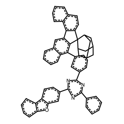 c1ccc(-c2nc(-c3cccc(-c4c5c(cc6ccccc46)-c4c(ccc6ccccc46)C54C5CC6CC(C5)CC4C6)c3)nc(-c3ccc4c(c3)oc3ccccc34)n2)cc1